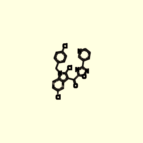 O=C(c1nc(-c2cccnc2)no1)c1c(Cl)n(Cc2ccc(Cl)cc2)c2ccc(Cl)cc12